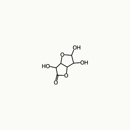 O=C1OC2C(O)C(O)OC2C1O